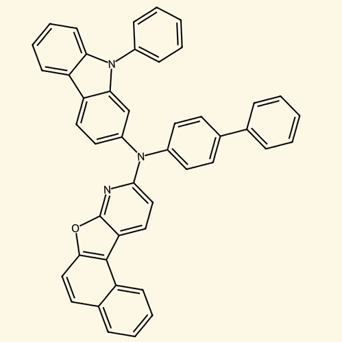 c1ccc(-c2ccc(N(c3ccc4c5ccccc5n(-c5ccccc5)c4c3)c3ccc4c(n3)oc3ccc5ccccc5c34)cc2)cc1